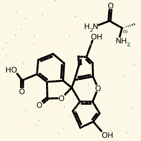 C[C@H](N)C(N)=O.O=C(O)c1cccc2c1C(=O)OC21c2ccc(O)cc2Oc2cc(O)ccc21